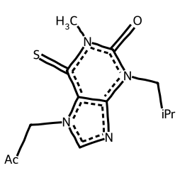 CC(=O)Cn1cnc2c1c(=S)n(C)c(=O)n2CC(C)C